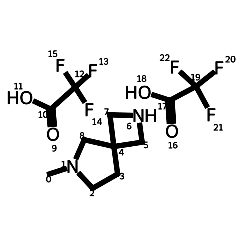 CN1CCC2(CNC2)C1.O=C(O)C(F)(F)F.O=C(O)C(F)(F)F